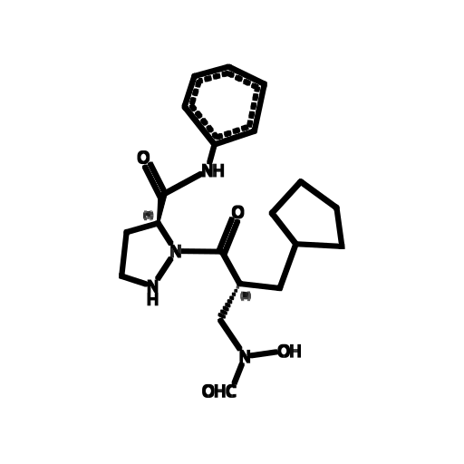 O=CN(O)C[C@@H](CC1CCCC1)C(=O)N1NCC[C@H]1C(=O)Nc1ccccc1